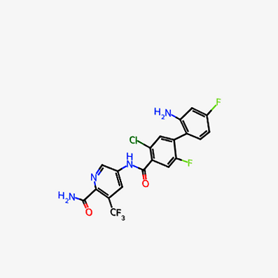 NC(=O)c1ncc(NC(=O)c2cc(F)c(-c3ccc(F)cc3N)cc2Cl)cc1C(F)(F)F